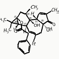 CCC1=C[C@H]2[C@@H]3C(C)(C)[C@]3(OC(=O)Cc3ccccc3)C[C@@H](C)[C@]2(O)[C@@H]2C=C(C)C(=O)[C@@]2(O)C1